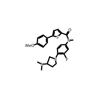 COc1ccc(-c2ccc(C(=O)N(C)c3ccc(N4CCC(N(C)C)C4)c(F)c3)s2)cc1